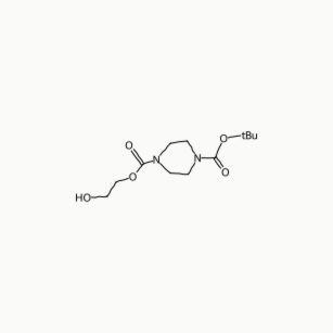 CC(C)(C)OC(=O)N1CCN(C(=O)OCCO)CC1